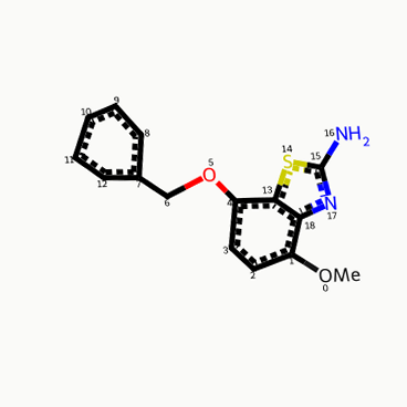 COc1ccc(OCc2ccccc2)c2sc(N)nc12